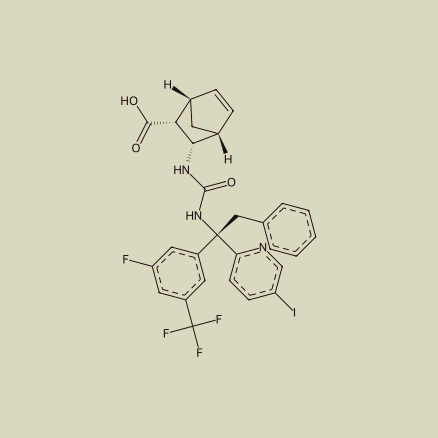 O=C(N[C@@H]1[C@H](C(=O)O)[C@@H]2C=C[C@H]1C2)N[C@@](Cc1ccccc1)(c1cc(F)cc(C(F)(F)F)c1)c1ccc(I)cn1